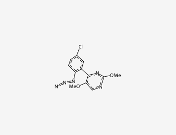 COc1ncc(OC)c(-c2cc(Cl)ccc2N=[N+]=[N-])n1